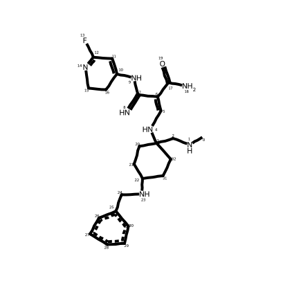 CNCC1(N/C=C(\C(=N)NC2=CC(F)=NCC2)C(N)=O)CCC(NCc2ccccc2)CC1